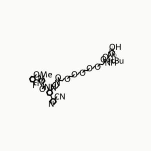 COc1cccc(F)c1-c1nccc(C(=O)Nc2ccc(-c3cnccc3C#N)cc2N2CCN(C(=O)CCOCCOCCOCCOCCOCCC(=O)N[C@H](C(=O)N3C[C@H](O)C[C@H]3C)C(C)(C)C)CC2)n1